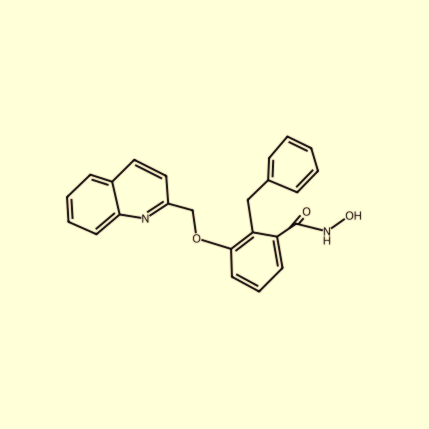 O=C(NO)c1cccc(OCc2ccc3ccccc3n2)c1Cc1ccccc1